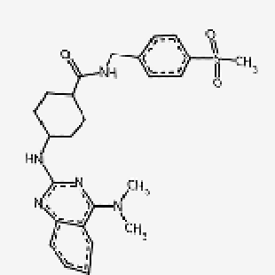 CN(C)c1nc(NC2CCC(C(=O)NCc3ccc(S(C)(=O)=O)cc3)CC2)nc2ccccc12